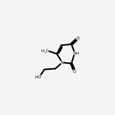 Cc1cc(=O)[nH]c(=O)n1CCO